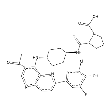 CC(=O)c1cnc2ccc(-c3cc(F)c(O)c(Cl)c3)nc2c1N[C@H]1CC[C@H](NC(=O)C2CCCN2C(=O)O)CC1